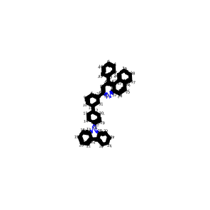 c1ccc(-c2cc(-c3cccc(-c4ccc(-n5c6ccccc6c6ccccc65)cc4)c3)nc3ccc4ccccc4c23)cc1